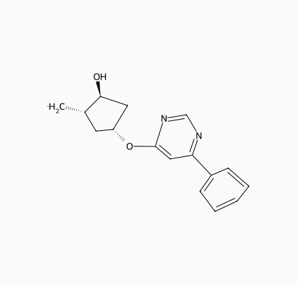 [CH2][C@H]1C[C@@H](Oc2cc(-c3ccccc3)ncn2)C[C@@H]1O